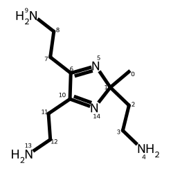 CC1(CCN)N=C(CCN)C(CCN)=N1